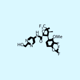 COc1c([C@H]2[C@H](C(=O)Nc3cnc(CO)nc3)O[C@@](C)(C(F)(F)F)[C@H]2C)ccc(OC(F)F)c1F